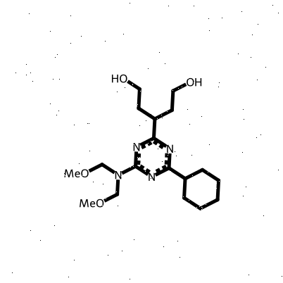 COCN(COC)c1nc(C(CCO)CCO)nc(C2CCCCC2)n1